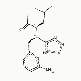 CC(=O)[C@@H](CC(C)C)[C@H](Cc1cccc(N)n1)c1nnn[nH]1